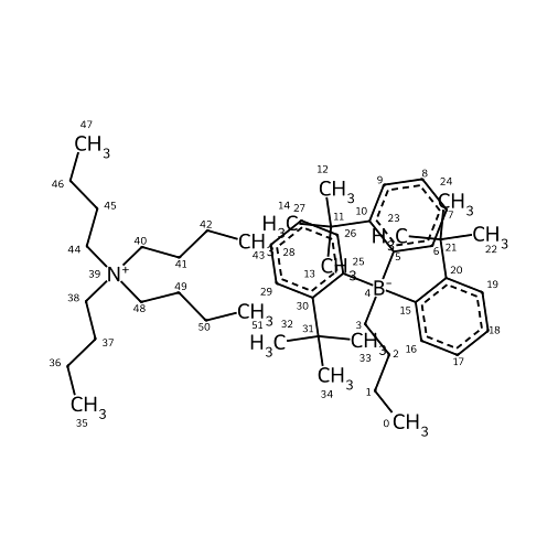 CCCC[B-](c1ccccc1C(C)(C)C)(c1ccccc1C(C)(C)C)c1ccccc1C(C)(C)C.CCCC[N+](CCCC)(CCCC)CCCC